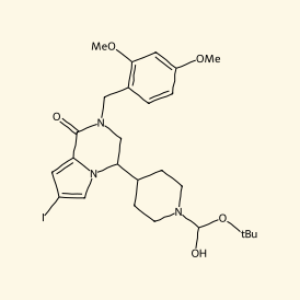 COc1ccc(CN2CC(C3CCN(C(O)OC(C)(C)C)CC3)n3cc(I)cc3C2=O)c(OC)c1